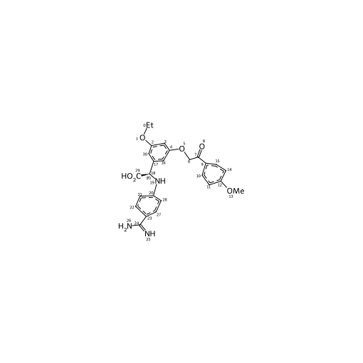 CCOc1cc(OCC(=O)c2ccc(OC)cc2)cc([C@@H](Nc2ccc(C(=N)N)cc2)C(=O)O)c1